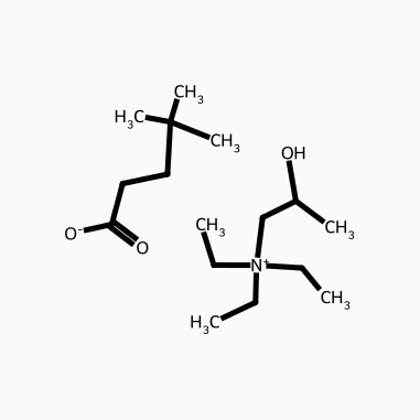 CC(C)(C)CCC(=O)[O-].CC[N+](CC)(CC)CC(C)O